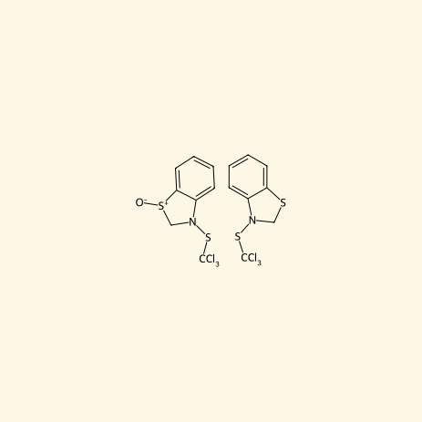 ClC(Cl)(Cl)SN1CSc2ccccc21.[O-][S+]1CN(SC(Cl)(Cl)Cl)c2ccccc21